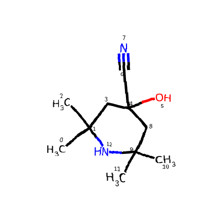 CC1(C)CC(O)(C#N)CC(C)(C)N1